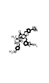 COc1ccc(CNC(=O)N(C(C)C)N2CC(=O)N3[C@@H](Cc4ccc(-c5nnn[nH]5)cc4)C(=O)N(Cc4cccc5sc(N)nc45)C[C@@H]32)cc1